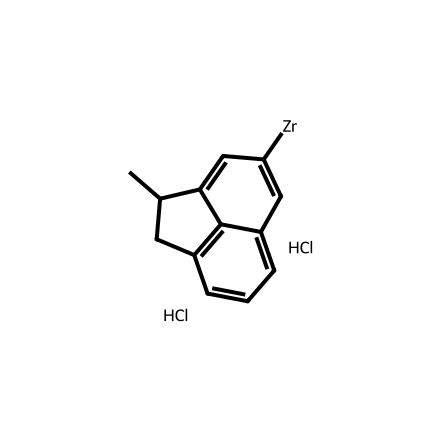 CC1Cc2cccc3c[c]([Zr])cc1c23.Cl.Cl